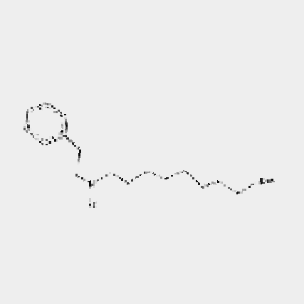 CCCCCCCCCCCCCCCCCCN(CC)CCc1ccccc1